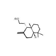 C=C1CC[C@H]2C(C)(C)CCC[C@@]2(C)[C@H]1CCOC(C)=O